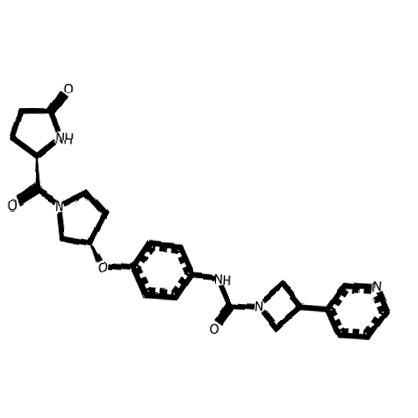 O=C1CC[C@H](C(=O)N2CC[C@@H](Oc3ccc(NC(=O)N4CC(c5cccnc5)C4)cc3)C2)N1